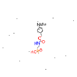 CNc1ccc(COC(=O)NCCP(C)(=O)O)cc1